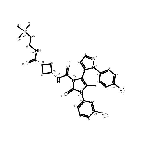 Cc1c(-c2ccnn2-c2ccc(C#N)cc2)n(C(=O)N[C@H]2C[C@@H](C(=O)NCC[N+](C)(C)C)C2)c(=O)n1-c1cccc(C(F)(F)F)c1